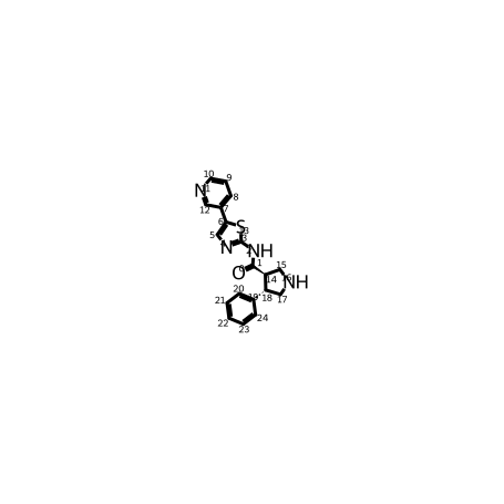 O=C(Nc1ncc(-c2cccnc2)s1)[C@H]1CNC[C@@H]1c1ccccc1